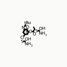 CC(C)(C)c1nc2cc(Cl)ccc2o1.CCC(=O)O.NC(O)=S.NC(O)=S